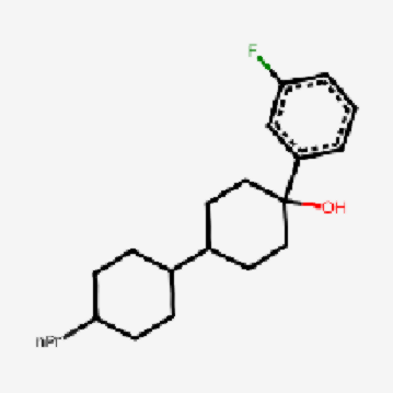 CCCC1CCC(C2CCC(O)(c3cccc(F)c3)CC2)CC1